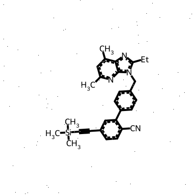 CCc1nc2c(C)cc(C)nc2n1Cc1ccc(-c2cc(C#C[Si](C)(C)C)ccc2C#N)cc1